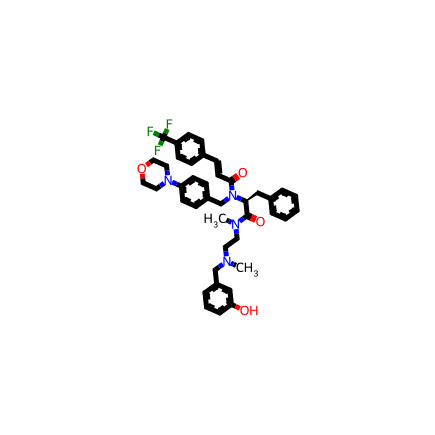 CN(CCN(C)C(=O)[C@H](Cc1ccccc1)N(Cc1ccc(N2CCOCC2)cc1)C(=O)C=Cc1ccc(C(F)(F)F)cc1)Cc1cccc(O)c1